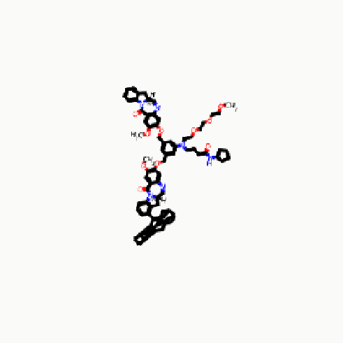 COCCOCCOCCN(CCCC(=O)NC1CCCC1)c1cc(COc2cc3c(cc2OC)C(=O)N2c4ccccc4C[C@H]2C=N3)cc(COc2cc3c(cc2OC)C(=O)N2c4cccc(C5=C6C=C7C8CC6CC6=C5C5C6C6C7C8C56)c4C[C@H]2C=N3)c1